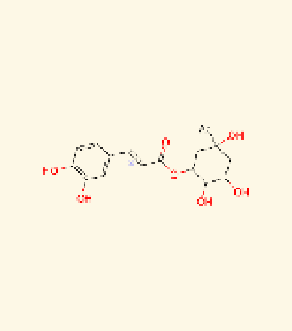 CC(=O)C1(O)CC(O)C(O)C(OC(=O)/C=C/c2ccc(O)c(O)c2)C1